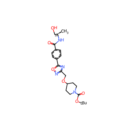 C[C@H](CO)NC(=O)c1ccc(-c2nc(COC3CCN(C(=O)OC(C)(C)C)CC3)no2)cc1